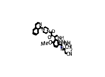 C=C(CC#N)/N=C(\NN)c1ccc(OC)c2c(C(=O)C(=O)N3CCN(c4nccc5ccccc45)CC3)c[nH]c12